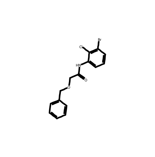 O=C(COCc1ccccc1)Nc1cccc(Br)c1Cl